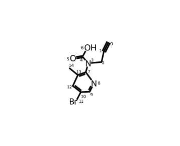 C#CCN(C(=O)O)c1ncc(Br)cc1C